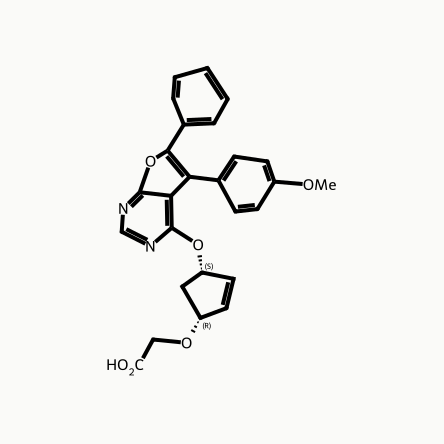 COc1ccc(-c2c(-c3ccccc3)oc3ncnc(O[C@@H]4C=C[C@H](OCC(=O)O)C4)c23)cc1